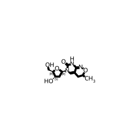 CC1CC2=CN([C@H]3C[C@H](O)[C@@H](CO)O3)C(=O)NC2=NO1